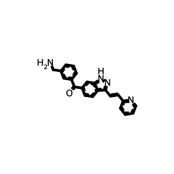 NCc1cccc(C(=O)c2ccc3c(/C=C/c4ccccn4)n[nH]c3c2)c1